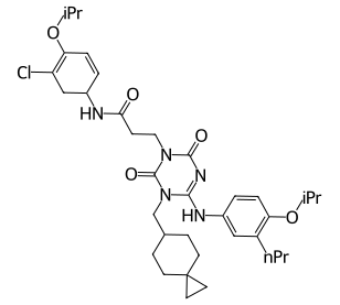 CCCc1cc(Nc2nc(=O)n(CCC(=O)NC3C=CC(OC(C)C)=C(Cl)C3)c(=O)n2CC2CCC3(CC2)CC3)ccc1OC(C)C